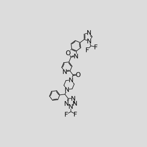 O=C(c1cc(-c2nc3cc(-c4cncn4C(F)F)ccc3o2)ccn1)N1CCN([C@H](c2ccccc2)c2nnn(C(F)F)n2)CC1